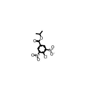 CC(C)OC(=O)c1cc([N+](=O)[O-])c(Cl)c([N+](=O)[O-])c1